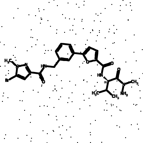 CC(C)[C@H](NC(=O)c1ccc(-c2cccc(CNC(=O)c3cc(Br)n(C)n3)c2)o1)C(=O)N(C)N